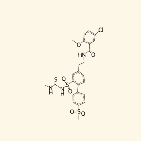 CNC(=S)NS(=O)(=O)c1cc(CCNC(=O)c2cc(Cl)ccc2OC)ccc1-c1ccc(S(C)(=O)=O)cc1